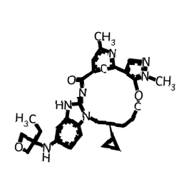 CCC1(Nc2ccc3c(c2)N/C2=N\C(=O)c4cc(C)nc(c4)-c4cnn(C)c4OCCC[C@@H](C4CC4)CN23)COC1